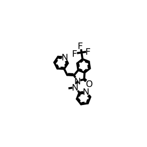 CN(c1ccccn1)N1C(=O)c2ccc(C(F)(F)F)cc2C1=Cc1cccnc1